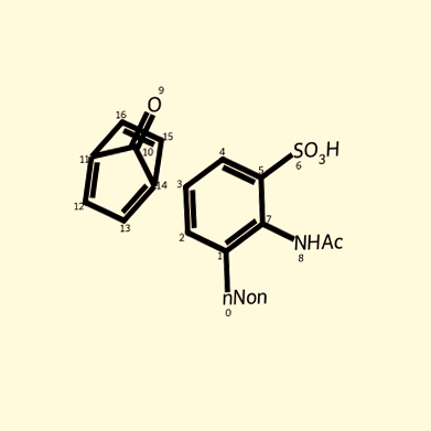 CCCCCCCCCc1cccc(S(=O)(=O)O)c1NC(C)=O.O=C1C2=CC=C1C=C2